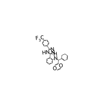 FC(F)(F)c1ccc(-c2nnc(-c3ccccc3NC(C3=CC=CCC3)C3=COC=CO3)[nH]2)cc1